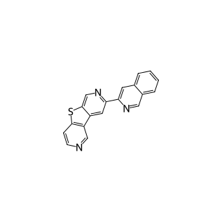 c1ccc2cc(-c3cc4c(cn3)sc3ccncc34)ncc2c1